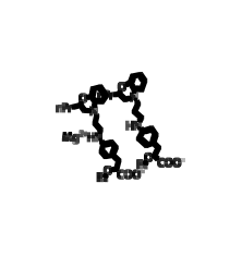 CCCC1CN(CCCNc2ccc(CC(OCC)C(=O)[O-])cc2)c2ccccc2O1.CCCC1CN(CCCNc2ccc(CC(OCC)C(=O)[O-])cc2)c2ccccc2O1.[Mg+2]